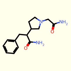 NC(=O)CN1CCC(C(Cc2ccccc2)C(N)=O)C1